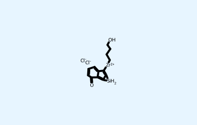 O=C1C=CC=C2[C]([Zr+2][CH2]CCCO)=C3[SiH2]C3=C12.[Cl-].[Cl-]